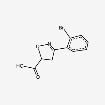 O=C(O)C1CC(c2ccccc2Br)=NO1